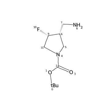 CC(C)(C)OC(=O)N1C[C@@H](CN)[C@@H](F)C1